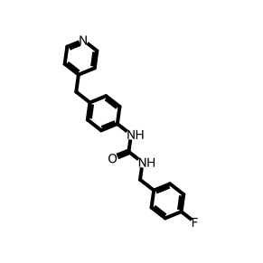 O=C(NCc1ccc(F)cc1)Nc1ccc(Cc2ccncc2)cc1